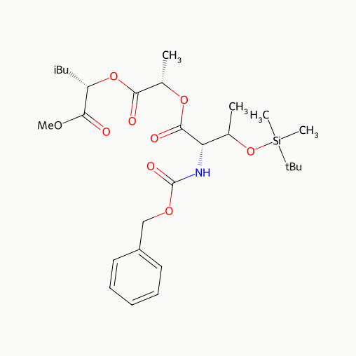 CCC(C)[C@H](OC(=O)[C@H](C)OC(=O)[C@@H](NC(=O)OCc1ccccc1)C(C)O[Si](C)(C)C(C)(C)C)C(=O)OC